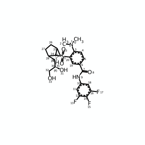 CN(C)c1ccc(C(=O)Nc2cc(F)c(F)c(F)c2)cc1S(=O)(=O)[C@@H]1C2CCC1[C@@H]([C@@H](O)CO)C2